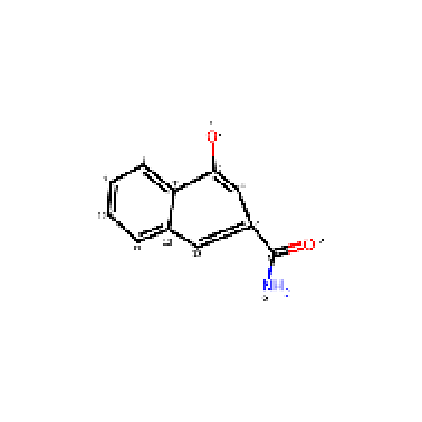 NC(=O)c1cc([O])c2ccccc2c1